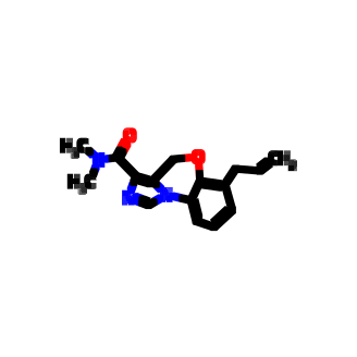 C=CCc1cccc2c1OCc1c(C(=O)N(C)C)ncn1-2